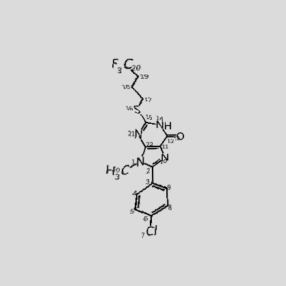 Cn1c(-c2ccc(Cl)cc2)nc2c(=O)[nH]c(SCCCC(F)(F)F)nc21